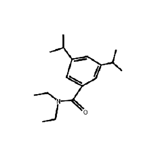 CCN(CC)C(=O)c1cc(C(C)C)cc(C(C)C)c1